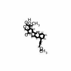 CC[C@@]1(O)C(=O)OCc2c1cc1n(c2=O)Cc2cc3c(C#CCOC)cccc3nc2-1